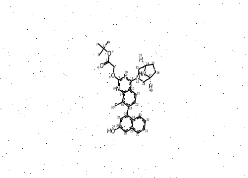 CC(C)(C)OC(=O)COc1nc(N2C[C@H]3CC[C@@H](C2)N3)c2ccc(-c3cc(O)cc4ccccc34)c(F)c2n1